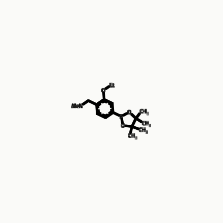 CCOc1cc(B2OC(C)(C)C(C)(C)O2)ccc1CNC